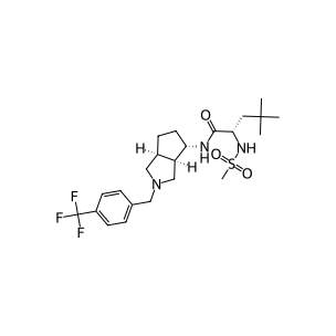 CC(C)(C)C[C@H](NS(C)(=O)=O)C(=O)N[C@H]1CC[C@@H]2CN(Cc3ccc(C(F)(F)F)cc3)C[C@@H]21